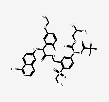 CCOc1ccc(F)c(C(Nc2ccc3c(N)nccc3c2)C(=O)NCc2cc(N(OC(=O)C(F)(F)F)C(=O)OCC(C)C)ccc2S(=O)(=O)CC)c1